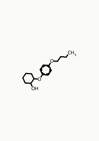 CCCCOc1ccc(OC2CCCCC2O)cc1